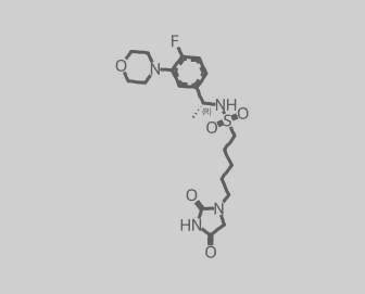 C[C@@H](NS(=O)(=O)CCCCCN1CC(=O)NC1=O)c1ccc(F)c(N2CCOCC2)c1